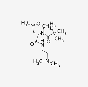 CC(=O)C[C@@H](C(=O)NCCN(C)C)N(C)C(=O)C(C)(C)C